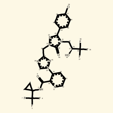 O=C(NC1(C(F)(F)F)CC1)c1ncccc1-n1cnc(Cn2nc(-c3ccc(Cl)cc3)n(C[C@H](O)C(F)(F)F)c2=O)n1